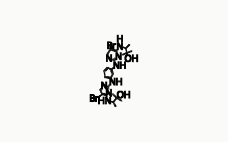 CC(Nc1nc(Nc2cccc(Nc3ncc(Br)c(N[C@H](C)C(C)(C)O)n3)c2)ncc1Br)C(C)(C)O